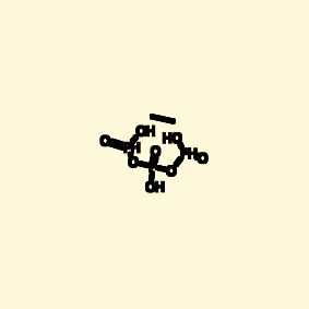 CC.O=[PH](O)OP(=O)(O)O[PH](=O)O